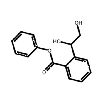 O=C(Oc1ccccc1)c1ccccc1C(O)CO